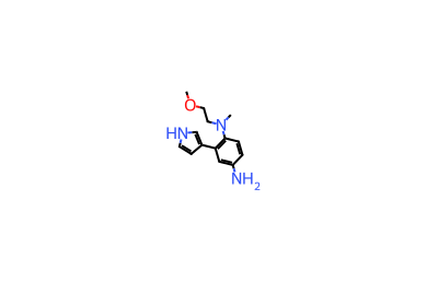 COCCN(C)c1ccc(N)cc1-c1cc[nH]c1